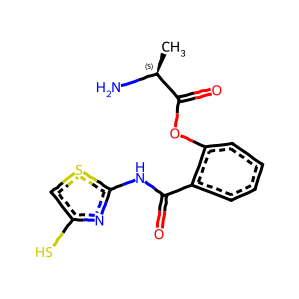 C[C@H](N)C(=O)Oc1ccccc1C(=O)Nc1nc(S)cs1